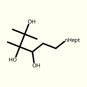 CCCCCCCCCC(O)C(C)(O)C(C)(C)O